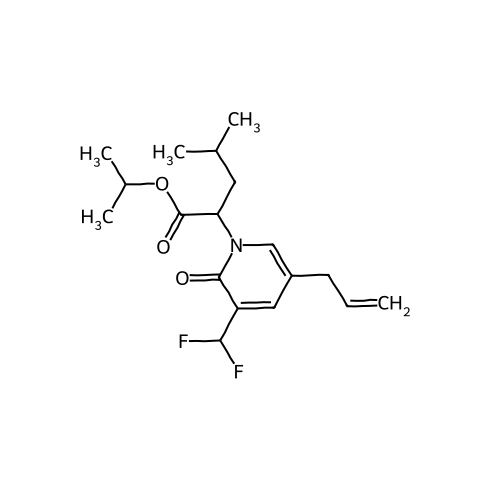 C=CCc1cc(C(F)F)c(=O)n(C(CC(C)C)C(=O)OC(C)C)c1